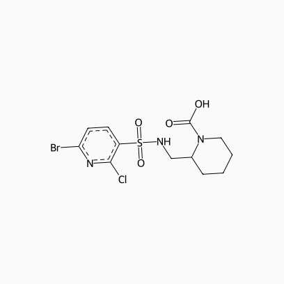 O=C(O)N1CCCCC1CNS(=O)(=O)c1ccc(Br)nc1Cl